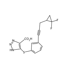 O=C(O)c1nn[nH]c1Sc1cccc(C#CCC2CC2(F)F)c1